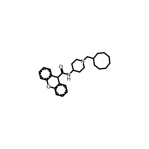 O=C(NC1CCN(CC2CCCCCCC2)CC1)C1c2ccccc2Oc2ccccc21